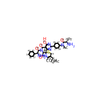 CC(=O)OCC1=C(C(=O)O)N2C(=O)C(N(C(=O)c3cnc(-c4ccc(N(C(C)=O)C(=O)[C@H](N)C(C)C)cc4)nc3O)C(=O)C(N)c3ccccc3)[C@@H]2SC1